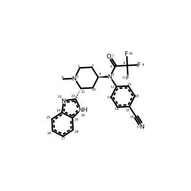 CN1CC[C@@H](N(C(=O)C(F)(F)F)c2ccc(C#N)cc2)C[C@@H]1c1nc2ccccc2[nH]1